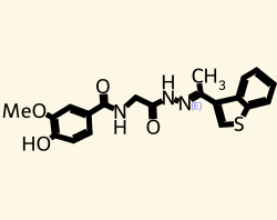 COc1cc(C(=O)NCC(=O)N/N=C(\C)c2csc3ccccc23)ccc1O